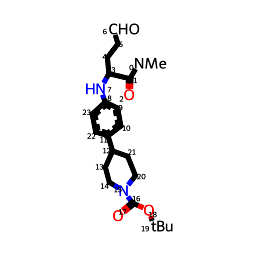 CNC(=O)C(CCC=O)Nc1ccc(C2CCN(C(=O)OC(C)(C)C)CC2)cc1